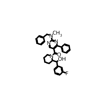 CN(Cc1ccccc1)c1ncc(C(=O)N2CCCCC2C(O)c2cccc(F)c2)c(-c2ccccc2)n1